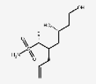 C=CC[C@H](C[C@H](O)CCO)[C@@H](C)S(N)(=O)=O